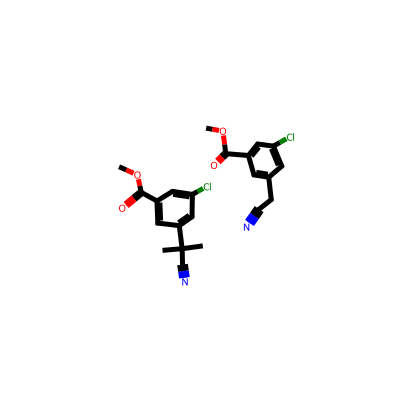 COC(=O)c1cc(Cl)cc(C(C)(C)C#N)c1.COC(=O)c1cc(Cl)cc(CC#N)c1